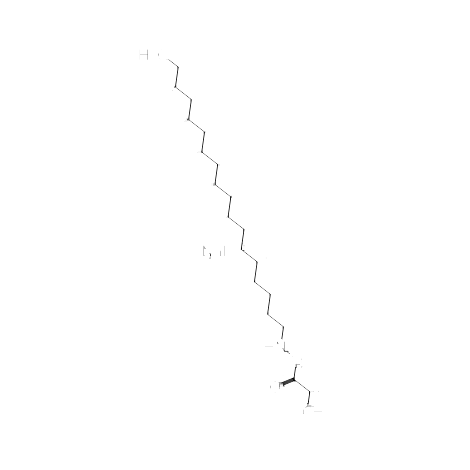 CCCCCCCCCCCCCCCCCCNOC(=O)CC.[NaH]